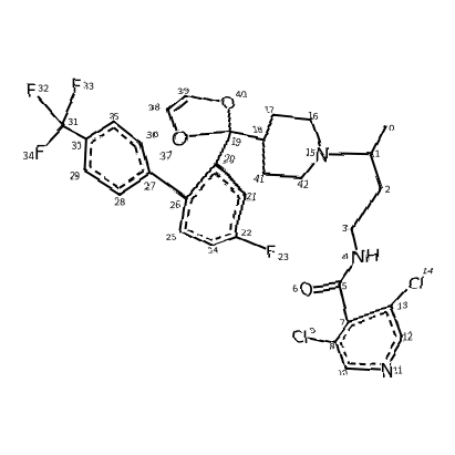 CC(CCNC(=O)c1c(Cl)cncc1Cl)N1CCC(C2(c3cc(F)ccc3-c3ccc(C(F)(F)F)cc3)OC=CO2)CC1